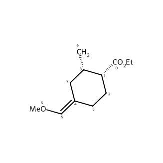 CCOC(=O)[C@@H]1CC/C(=C/OC)C[C@@H]1C